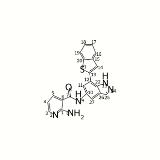 Nc1ncccc1C(=O)Nc1cc(-c2cc3ccccc3s2)c2[nH]ncc2c1